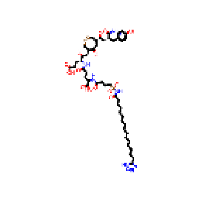 NC(=O)[C@@H](CC(=O)[C@@H]1CSSC[C@H](CC(=O)[C@H](CCC(=O)O)NC(=O)CCC(NC(=O)CCCS(=O)(=O)NC(=O)CCCCCCCCCCCCCCCc2nnn[nH]2)C(=O)O)C(=O)C1)Cc1ccc(O)cc1